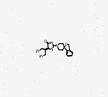 CC(C)CC(CC(C)C)=C1SC(N2CCC3(CC2)OCc2ccccc23)=NC1=O